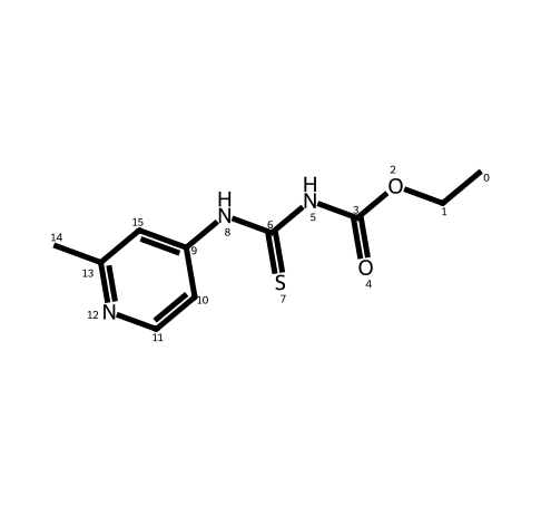 CCOC(=O)NC(=S)Nc1ccnc(C)c1